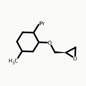 CC1CCC(C(C)C)C(OC[C@H]2CO2)C1